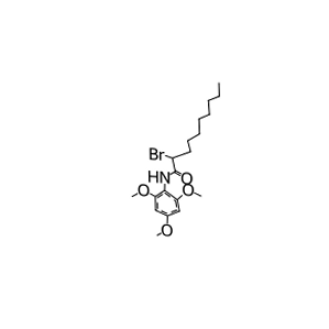 CCCCCCCCC(Br)C(=O)Nc1c(OC)cc(OC)cc1OC